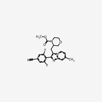 COC(=O)N1CCOCC1Cc1c(-c2c(F)cc(C#N)cc2F)nc2cc(C)ccn12